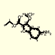 CCOC(=O)c1oc2ccc(N)cc2c1OC.Cl